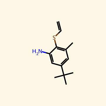 C=CSc1c(C)cc(C(C)(C)C)cc1N